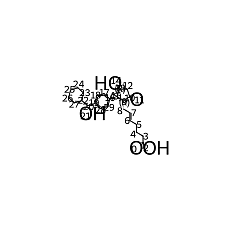 O=C(O)CCCC=CC[C@H]1C(=O)C[C@@H](O)[C@@H]1c1ccc(C(O)C2CCCCC2)cc1